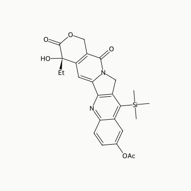 CC[C@@]1(O)C(=O)OCc2c1cc1n(c2=O)Cc2c-1nc1ccc(OC(C)=O)cc1c2[Si](C)(C)C